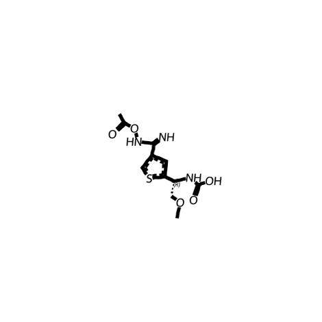 COC[C@@H](NC(=O)O)c1cc(C(=N)NOC(C)=O)cs1